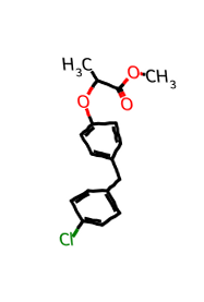 COC(=O)C(C)Oc1ccc(Cc2ccc(Cl)cc2)cc1